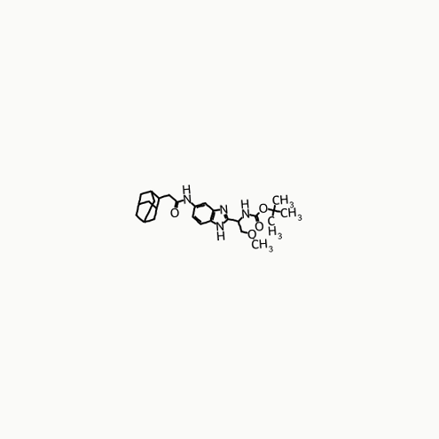 COCC(NC(=O)OC(C)(C)C)c1nc2cc(NC(=O)CC3C4CC5CC(C4)CC3C5)ccc2[nH]1